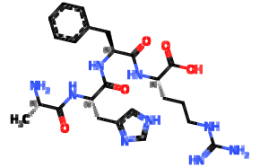 C[C@H](N)C(=O)N[C@@H](Cc1c[nH]cn1)C(=O)N[C@@H](Cc1ccccc1)C(=O)N[C@@H](CCCNC(=N)N)C(=O)O